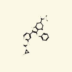 CN(C)C(=O)C1CC(=O)c2c([nH]c(-c3ccnc(NC(=O)[C@H]4C[C@H]4F)c3)c2Nc2ccccc2)C1